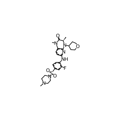 C[C@@H]1C(=O)N(C)c2ccc(Nc3ccc(S(=O)(=O)N4CCN(C)CC4)cc3F)nc2N1C1CCOCC1